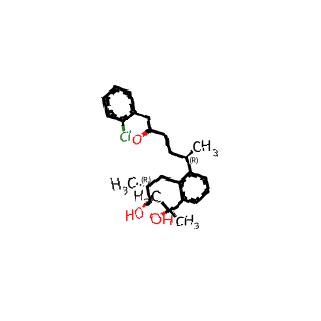 C[C@@H](CO)Cc1c([C@H](C)CCC(=O)Cc2ccccc2Cl)cccc1C(C)(C)O